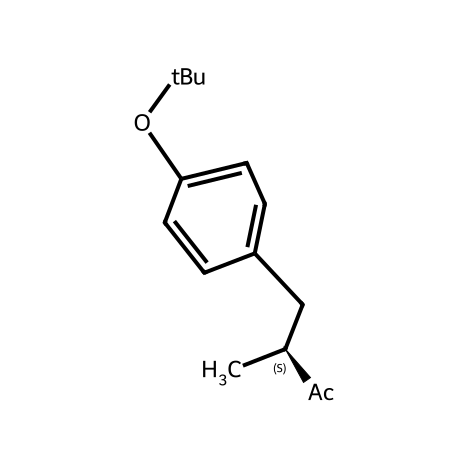 CC(=O)[C@@H](C)Cc1ccc(OC(C)(C)C)cc1